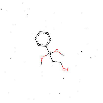 CO[Si](CCO)(OC)c1ccccc1